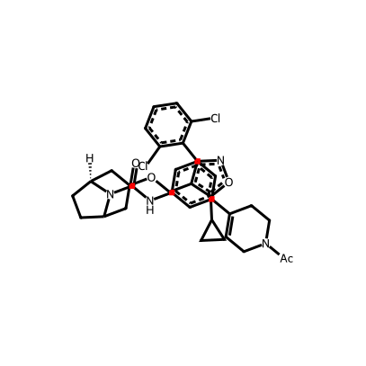 CC(=O)N1CC=C(c2cccc(NC(=O)N3C4CC[C@H]3CC(OCc3c(-c5c(Cl)cccc5Cl)noc3C3CC3)C4)c2)CC1